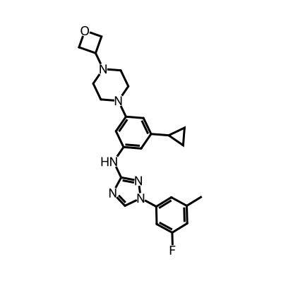 Cc1cc(F)cc(-n2cnc(Nc3cc(C4CC4)cc(N4CCN(C5COC5)CC4)c3)n2)c1